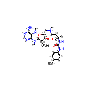 C=Nc1c(N)ncnc1N(C)C1O[C@H](CN(C)CCC(C)(C)NC(=O)Nc2ccc(C(C)(C)C)cc2)[C@@H](O)[C@H]1OC